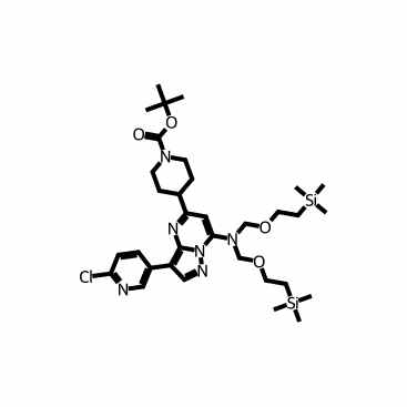 CC(C)(C)OC(=O)N1CCC(c2cc(N(COCC[Si](C)(C)C)COCC[Si](C)(C)C)n3ncc(-c4ccc(Cl)nc4)c3n2)CC1